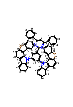 c1ccc(-c2cc(-c3ccccc3)nc(-c3cc(-n4c5ccccc5c5ccc6sc7ccccc7c6c54)cc(-n4c5ccccc5c5ccc6sc7ccccc7c6c54)c3)n2)cc1